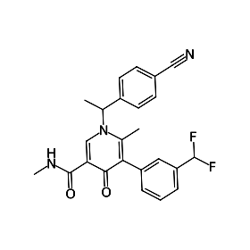 CNC(=O)c1cn(C(C)c2ccc(C#N)cc2)c(C)c(-c2cccc(C(F)F)c2)c1=O